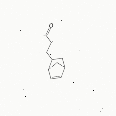 O=[C]CCC1CC2C=CC1C2